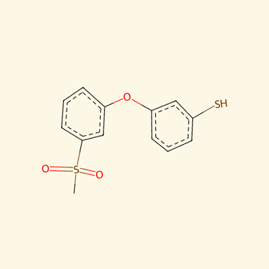 CS(=O)(=O)c1cccc(Oc2cccc(S)c2)c1